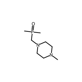 CN1CCN(CP(C)(C)=O)CC1